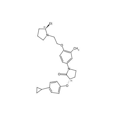 CC[C@@H]1CCCN1CCOc1ccc(N2CC[C@H](Oc3ccc(C4CC4)cc3)C2=O)cc1C